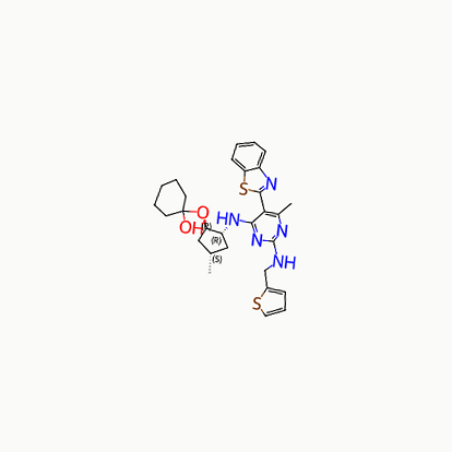 Cc1nc(NCc2cccs2)nc(N[C@@H]2C[C@H](C)C[C@H]2OC2(O)CCCCC2)c1-c1nc2ccccc2s1